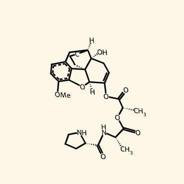 COc1ccc2c3c1O[C@@H]1C(OC(=O)[C@H](C)OC(=O)[C@H](C)NC(=O)[C@@H]4CCCN4)=CC[C@]4(O)[C@@H](CCC[C@@]314)C2